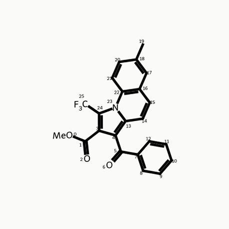 COC(=O)c1c(C(=O)c2ccccc2)c2ccc3cc(C)ccc3n2c1C(F)(F)F